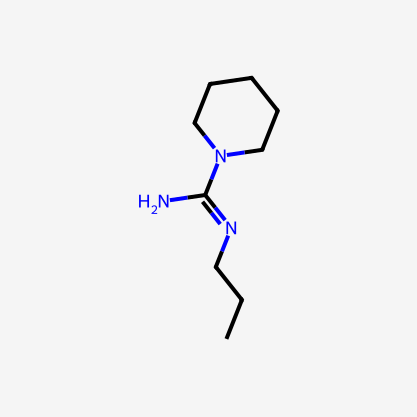 CCCN=C(N)N1CCCCC1